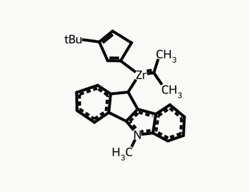 C[C](C)=[Zr]([C]1=CC(C(C)(C)C)=CC1)[CH]1c2ccccc2-c2c1c1ccccc1n2C